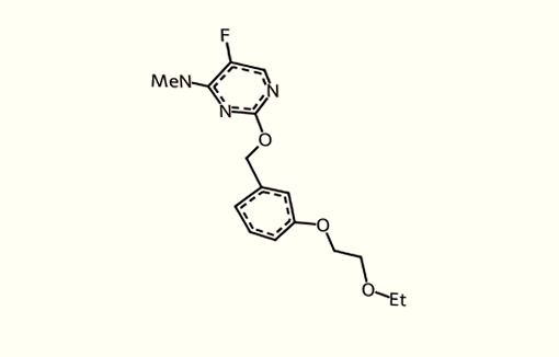 CCOCCOc1cccc(COc2ncc(F)c(NC)n2)c1